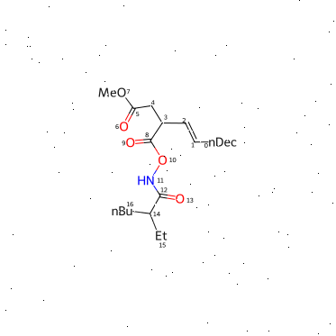 CCCCCCCCCCC=CC(CC(=O)OC)C(=O)ONC(=O)C(CC)CCCC